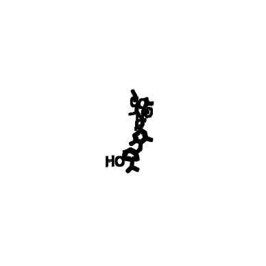 CCOC(=O)[C@H](C)NP(=O)(COc1cc(C)c(Cc2ccc(O)c(C(C)C)c2)c(C)c1)CC(C)C